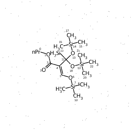 CCCOC(=O)C(=CO[Si](C)(C)C)C([SiH3])(O[Si](C)(C)C)O[Si](C)(C)C